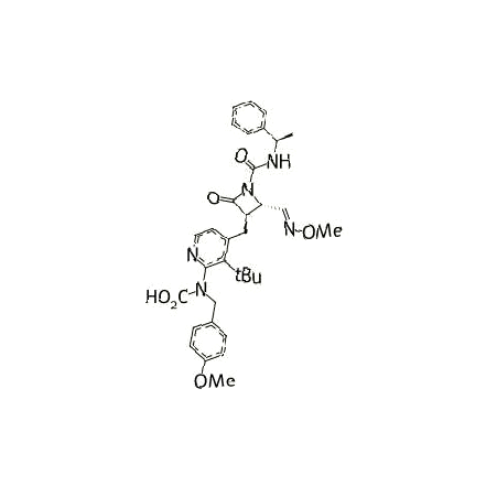 CON=C[C@@H]1[C@@H](Cc2ccnc(N(Cc3ccc(OC)cc3)C(=O)O)c2C(C)(C)C)C(=O)N1C(=O)N[C@H](C)c1ccccc1